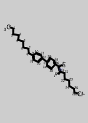 CCCCCCCCCc1ccc(-c2ccc(/C(F)=C(\F)CCCCCCC)cc2)cc1